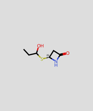 CCC(O)S[C@H]1CC(=O)N1